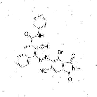 CN1C(=O)c2cc(C#N)c(/N=N/c3c(O)c(C(=O)Nc4ccccc4)cc4ccccc34)c(Br)c2C1=O